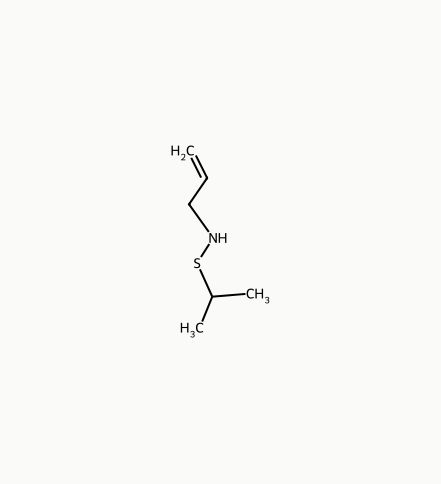 C=CCNSC(C)C